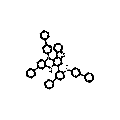 B1c2cc(-c3ccccc3)ccc2N(c2ccc(-c3ccccc3)cc2)c2c1c(-c1cc(-c3ccccc3)ccc1Nc1ccc(-c3ccccc3)cc1)cc1sc3ccccc3c21